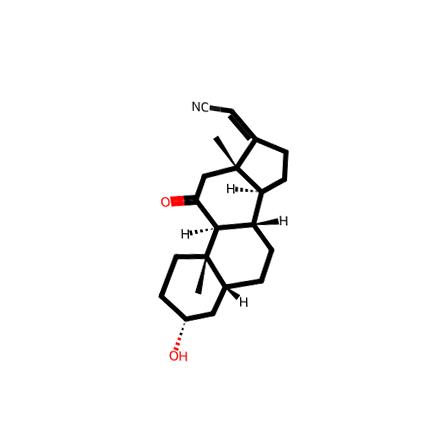 C[C@]12CC[C@@H](O)C[C@H]1CC[C@@H]1[C@@H]2C(=O)C[C@]2(C)/C(=C\C#N)CC[C@@H]12